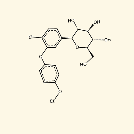 CCOc1ccc(Oc2cc([C@@H]3O[C@H](CO)[C@@H](O)[C@H](O)[C@H]3O)ccc2Cl)cc1